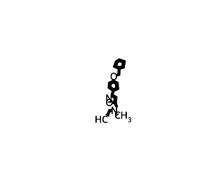 C#CCN(C)Cc1cc(-c2ccc(OCc3ccccc3)cc2)no1